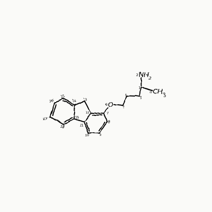 CC(N)CCCOc1cccc2c1Cc1ccccc1-2